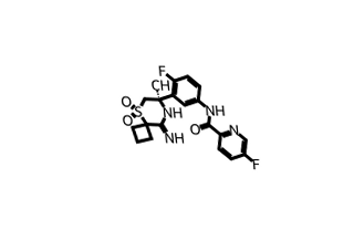 C[C@@]1(c2cc(NC(=O)c3ccc(F)cn3)ccc2F)CS(=O)(=O)C2(CCC2)C(=N)N1